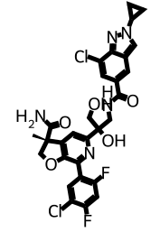 C[C@]1(C(N)=O)COc2c1cc(C(O)(CO)CNC(=O)c1cc(Cl)c3nn(C4CC4)cc3c1)nc2-c1cc(Cl)c(F)cc1F